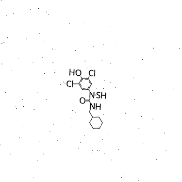 O=C(NCC1CCCCC1)N(S)c1cc(Cl)c(O)c(Cl)c1